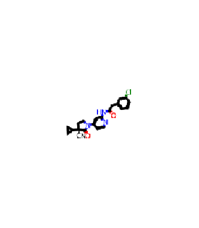 N#C[C@@]1(C2CC2)CCN(c2ccnc(NC(=O)Cc3cccc(Cl)c3)c2)C1=O